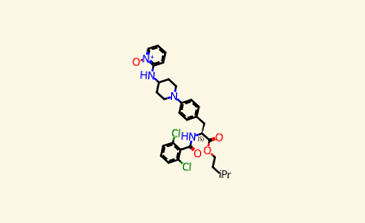 CC(C)CCOC(=O)[C@H](Cc1ccc(N2CCC(Nc3cccc[n+]3[O-])CC2)cc1)NC(=O)c1c(Cl)cccc1Cl